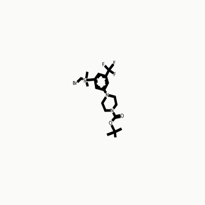 CC(C)(C)OC(=O)N1CCN(c2cc(C(F)(F)F)cc([Si](C)(C)CBr)c2)CC1